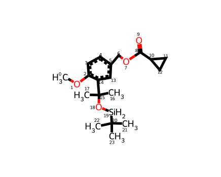 COc1ccc(COC(=O)C2CC2)cc1C(C)(C)O[SiH2]C(C)(C)C